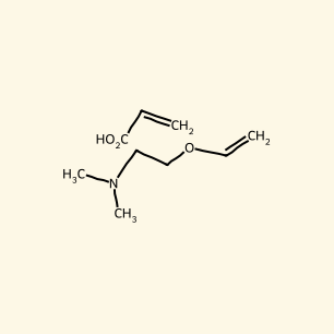 C=CC(=O)O.C=COCCN(C)C